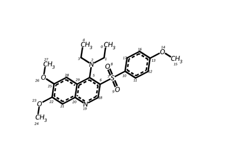 CCN(CC)c1c(S(=O)(=O)c2ccc(OC)cc2)cnc2cc(OC)c(OC)cc12